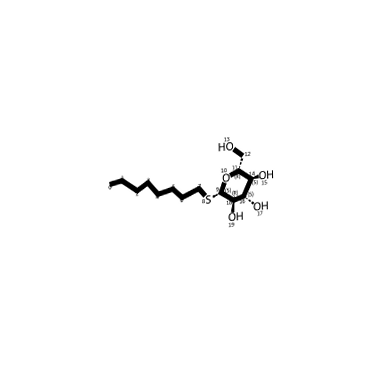 CCCCCCCCS[C@@H]1O[C@H](CO)[C@@H](O)[C@H](O)[C@H]1O